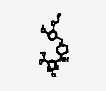 C=CCOc1cc(CN2CCC(Nc3cc(C(=O)OC)nc(Cl)n3)CC2)ccc1OC